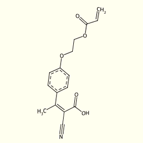 C=CC(=O)OCCOc1ccc(C(C)=C(C#N)C(=O)O)cc1